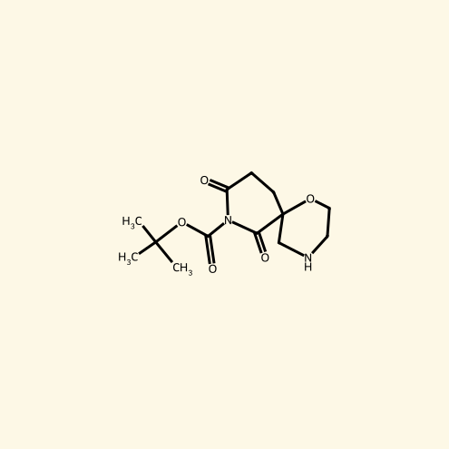 CC(C)(C)OC(=O)N1C(=O)CCC2(CNCCO2)C1=O